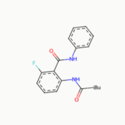 CCC(C)C(=O)Nc1cccc(F)c1C(=O)Nc1ccccc1